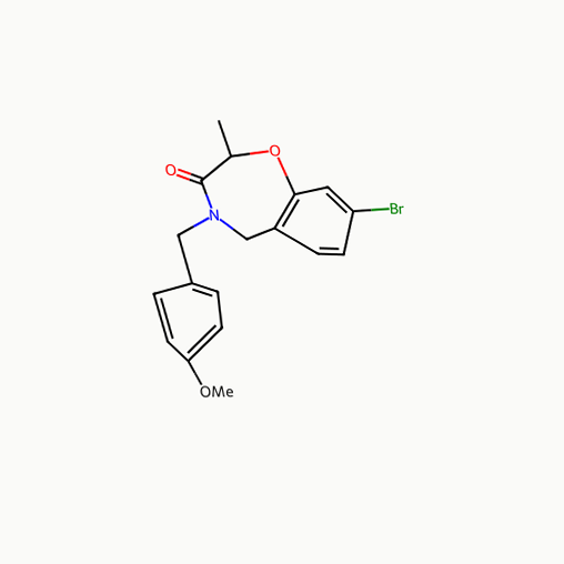 COc1ccc(CN2Cc3ccc(Br)cc3OC(C)C2=O)cc1